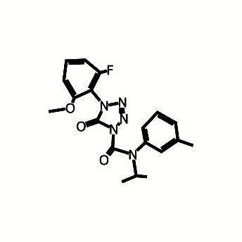 COc1cccc(F)c1-n1nnn(C(=O)N(c2cccc(C)c2)C(C)C)c1=O